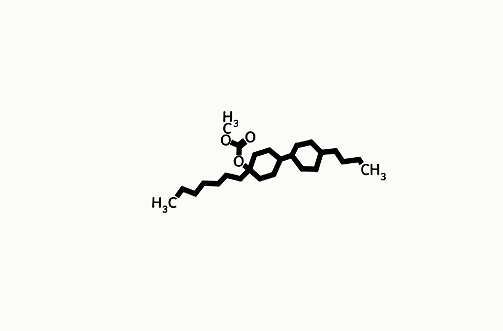 CCCCCCCC1(OC(=O)OC)CCC(C2CCC(CCCC)CC2)CC1